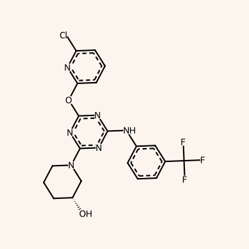 O[C@@H]1CCCN(c2nc(Nc3cccc(C(F)(F)F)c3)nc(Oc3cccc(Cl)n3)n2)C1